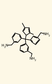 CC1=C[C](C(c2cccc(CN)c2)(c2cccc(CN)c2)c2cccc(CN)c2)C(C)=C1